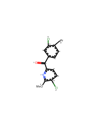 COc1nc(C(=O)c2ccc(C(C)C)c(Cl)c2)ccc1Cl